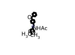 CC(=O)NC1(/C=C/c2ccc(C(=O)c3ccccc3)cc2)COC(C)(C)OC1